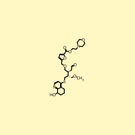 COC[C@H](CSc1ccnc2c1CCCC2O)[C@H](CC=O)COCc1ccc(C(=O)OCCN2CCOCC2)o1